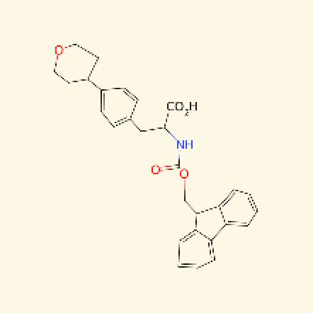 O=C(NC(Cc1ccc(C2CCOCC2)cc1)C(=O)O)OCC1c2ccccc2-c2ccccc21